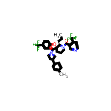 CCC[C@H]1N(C(=O)c2cnccc2C(F)(F)F)CCC[C@@]1(Oc1ccc(C(F)(F)F)cc1)C(=O)N1CCC(c2ccc(C)cc2)C1